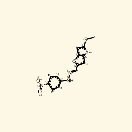 CSc1cc2sc(C=NNc3ccc([N+](=O)[O-])cc3)cc2s1